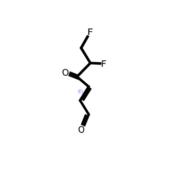 O=C/C=C/C(=O)C(F)CF